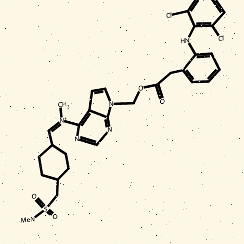 CNS(=O)(=O)CC1CCC(/C=[N+](/C)c2ncnc3c2ccn3COC(=O)Cc2ccccc2Nc2c(Cl)cccc2Cl)CC1